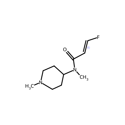 CN1CCC(N(C)C(=O)/C=C/F)CC1